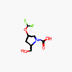 O=C(O)N1CC(OC(F)F)CC1CO